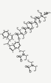 CC(C1C=Cc2ccccc21)C1C=Cc2ccccc21.CCN(CC)C(=O)[O-].CCN(CC)C(=O)[O-].CCN(CC)C(=O)[O-].CCN(CC)C(=O)[O-].CCN(CC)C(=O)[O-].CCN(CC)C(=O)[O-].[Zr+3].[Zr+3]